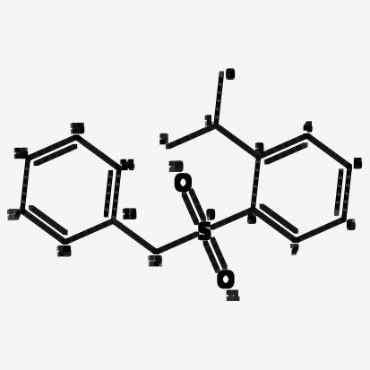 CC(C)c1ccccc1S(=O)(=O)Cc1ccccc1